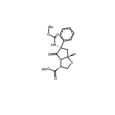 COC(=O)[C@@H]1CS[C@H]2C[C@](NC(=O)OC(C)(C)C)(c3ccccc3)C(=O)N21